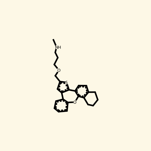 CNCCCOCc1cc2c(s1)-c1ccc3c(c1Oc1ccccc1-2)CCCC3